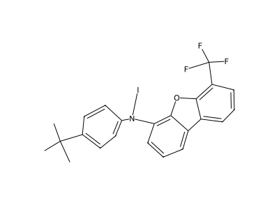 CC(C)(C)c1ccc(N(I)c2cccc3c2oc2c(C(F)(F)F)cccc23)cc1